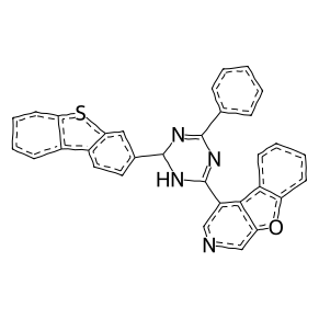 c1ccc(C2=NC(c3ccc4c(c3)sc3ccccc34)NC(c3cncc4oc5ccccc5c34)=N2)cc1